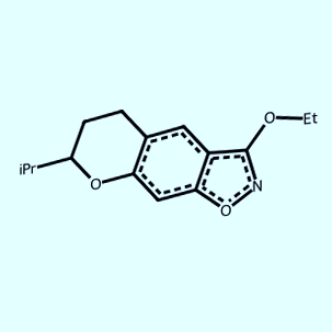 CCOc1noc2cc3c(cc12)CCC(C(C)C)O3